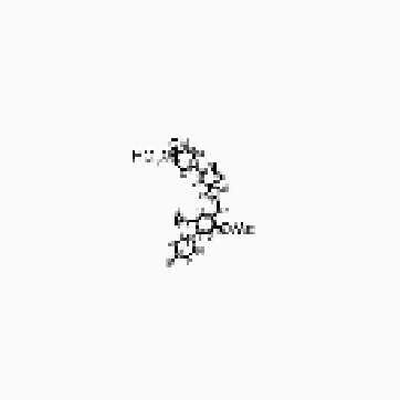 COc1cc(N2CCC(F)CC2)c(C2CC2)cc1CN1CC2(CC(N3CCC(C)(C(=O)O)CC3)=NO2)C1